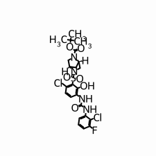 CC(C)(C)OC(=O)N1C[C@@H]2C[C@H]1CN2S(=O)(=O)c1c(Cl)ccc(NC(=O)Nc2cccc(F)c2Cl)c1O